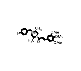 COc1cc(C=CC(=O)N2C[C@@H](C)N(Cc3ccc(F)cc3)C[C@@H]2C)cc(OC)c1OC